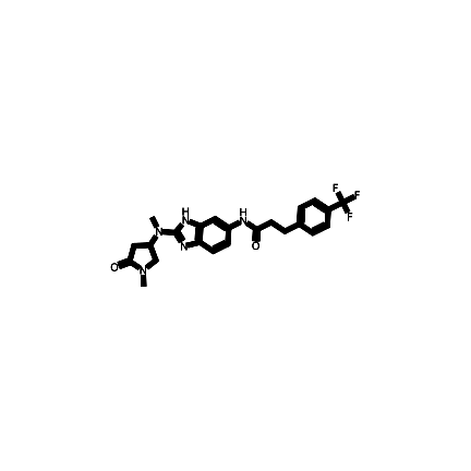 CN1CC(N(C)c2nc3ccc(NC(=O)CCc4ccc(C(F)(F)F)cc4)cc3[nH]2)CC1=O